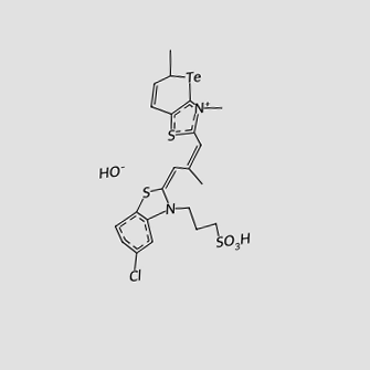 CC(=Cc1sc2c([n+]1C)[Te]C(C)C=C2)C=C1Sc2ccc(Cl)cc2N1CCCS(=O)(=O)O.[OH-]